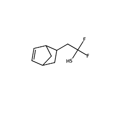 FC(F)(S)CC1CC2C=CC1C2